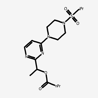 CCCC(=O)OC(C)c1nccc(N2CCN(S(=O)(=O)C(C)C)CC2)n1